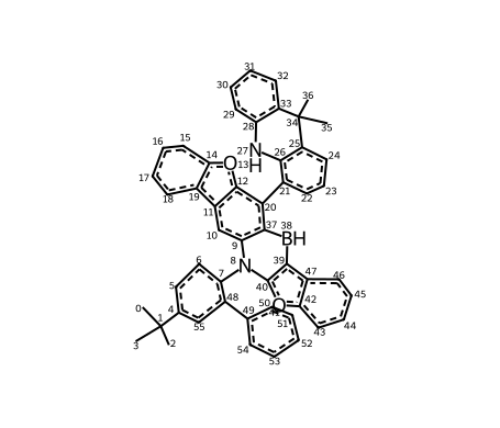 CC(C)(C)c1ccc(N2c3cc4c(oc5ccccc54)c(-c4cccc5c4Nc4ccccc4C5(C)C)c3Bc3c2oc2ccccc32)c(-c2ccccc2)c1